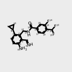 N=Cc1c(N)ccc(C2CC2)c1CNC(=O)c1ccc(C(F)F)c(F)c1